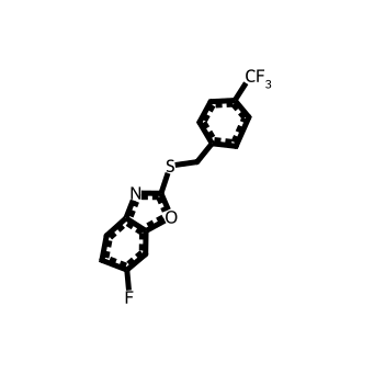 Fc1ccc2nc(SCc3ccc(C(F)(F)F)cc3)oc2c1